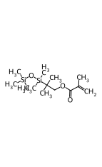 C=C(C)C(=O)OCC(C)(C)[Si](C)(C)O[Si](C)(C)C